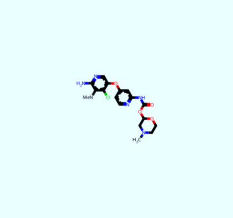 CNc1c(N)ncc(Oc2ccnc(NC(=O)OC3CN(C)CCO3)c2)c1Cl